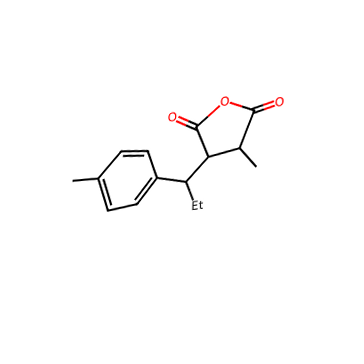 CCC(c1ccc(C)cc1)C1C(=O)OC(=O)C1C